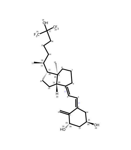 C=C1/C(=C\C=C2/CCC[C@]3(C)[C@@H]([C@@H](C)CCCC(O)(C(F)(F)F)C(F)(F)F)CC[C@@H]23)C[C@@H](O)C[C@@H]1O